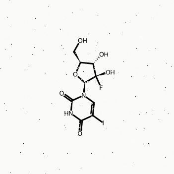 O=c1[nH]c(=O)n([C@H]2O[C@@H](CO)[C@H](O)[C@]2(O)F)cc1I